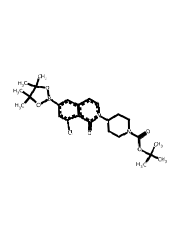 CC(C)(C)OC(=O)N1CCC(n2ccc3cc(B4OC(C)(C)C(C)(C)O4)cc(Cl)c3c2=O)CC1